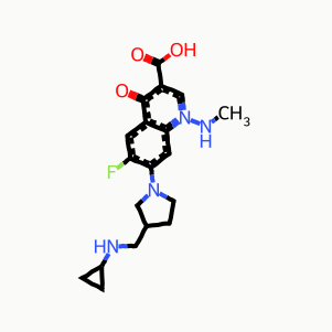 CNn1cc(C(=O)O)c(=O)c2cc(F)c(N3CCC(CNC4CC4)C3)cc21